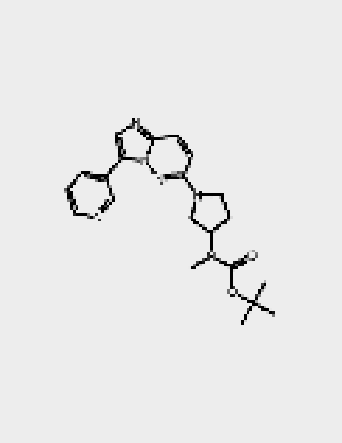 CN(C(=O)OC(C)(C)C)C1CCN(c2ccc3ncc(-c4cccnc4)n3n2)C1